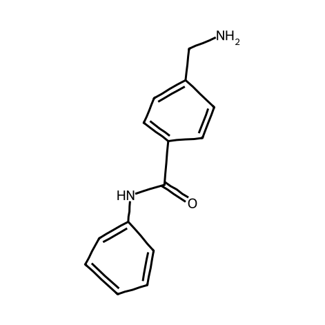 NCc1ccc(C(=O)Nc2ccccc2)cc1